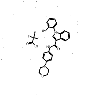 CC(C)c1ccccc1-n1cc(C(=O)Nc2ccc(N3CCOCC3)cc2)c2ccccc21.O=C(O)C(F)(F)F